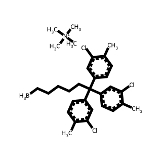 C[N+](C)(C)C.[BH3-]CCCCCC(c1ccc(C)c(Cl)c1)(c1ccc(C)c(Cl)c1)c1ccc(C)c(Cl)c1